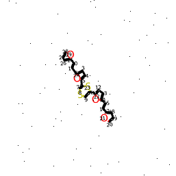 C(=Cc1ccc(C2=CSC=C(c3ccc(C=Cc4ccco4)o3)S2)o1)c1ccco1